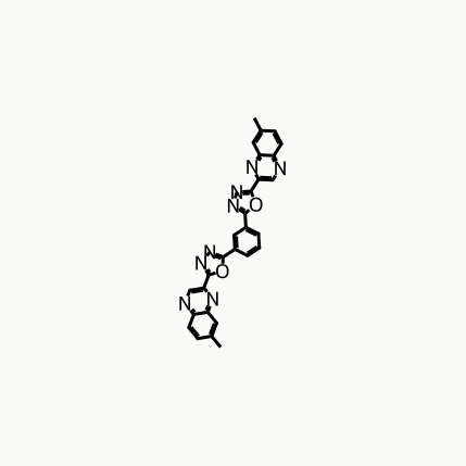 Cc1ccc2ncc(-c3nnc(-c4cccc(-c5nnc(-c6cnc7ccc(C)cc7n6)o5)c4)o3)nc2c1